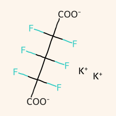 O=C([O-])C(F)(F)C(F)(F)C(F)(F)C(=O)[O-].[K+].[K+]